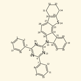 c1ccc(-c2nc(-c3ccccc3)nc(-n3c4ccccc4c4c5sc6c(c5ccc43)CCCC6)n2)cc1